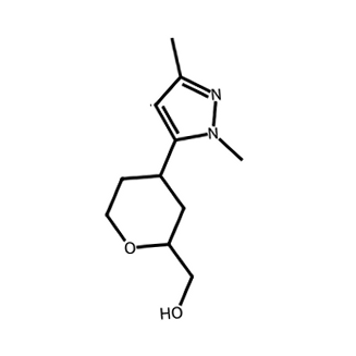 Cc1[c]c(C2CCOC(CO)C2)n(C)n1